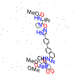 COC(=O)N[C@H](C(=O)N1CCC[C@H]1c1ncc(-c2ccc(-c3ccc4c(ccc5nc([C@@H]6CC7(CN6C(=O)[C@@H](NC(=O)OC)[C@@H](C)OC)OCCO7)[nH]c54)c3)cc2)[nH]1)C(C)C